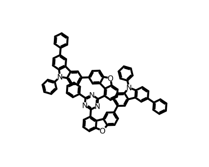 c1ccc(-c2ccc3c(c2)c2cc(-c4ccc5oc6cccc(-c7nc(-c8ccccc8)nc(-c8cccc9oc%10ccc(-c%11ccc%12c(c%11)c%11cc(-c%13ccccc%13)ccc%11n%12-c%11ccccc%11)cc%10c89)n7)c6c5c4)ccc2n3-c2ccccc2)cc1